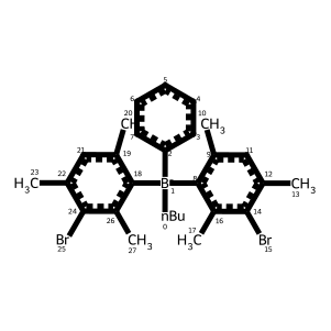 CCCC[B-](c1ccccc1)(c1c(C)cc(C)c(Br)c1C)c1c(C)cc(C)c(Br)c1C